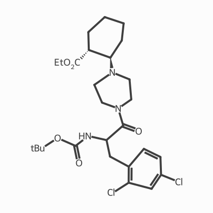 CCOC(=O)[C@@H]1CCCC[C@H]1N1CCN(C(=O)C(Cc2ccc(Cl)cc2Cl)NC(=O)OC(C)(C)C)CC1